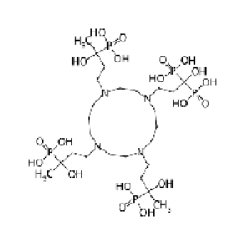 CC(O)(CCN1CCCN(CCC(C)(O)P(=O)(O)O)CCN(CCC(O)(P(=O)(O)O)P(=O)(O)O)CCCN(CCC(C)(O)P(=O)(O)O)CC1)P(=O)(O)O